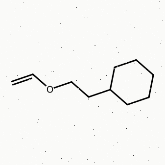 C=COC[CH]C1CCCCC1